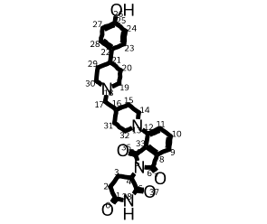 O=C1CCC(N2C(=O)c3cccc(N4CCC(CN5CCC(c6ccc(O)cc6)CC5)CC4)c3C2=O)C(=O)N1